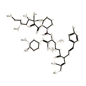 CC[C@@H](C)C/C(C)=C/C(C/C=C/c1ccc(C(C)=O)cc1)C(=O)C[C@H](O)[C@@H](C)[C@H](OC(=O)[C@@H]1CCCCN1C(=O)C(=O)[C@](O)(OC)[C@H](C)C[C@@H](CCOC)OC)/C(C)=C/[C@@H]1CC[C@@H](O)[C@H](OC)C1